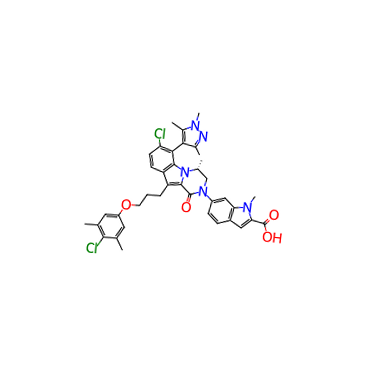 Cc1cc(OCCCc2c3n(c4c(-c5c(C)nn(C)c5C)c(Cl)ccc24)[C@H](C)CN(c2ccc4cc(C(=O)O)n(C)c4c2)C3=O)cc(C)c1Cl